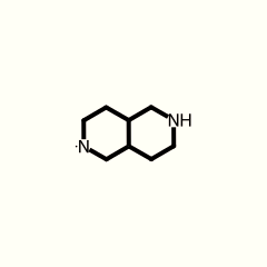 C1CC2CNCCC2C[N]1